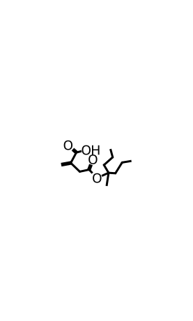 C=C(CC(=O)OC(C)(CCC)CCC)C(=O)O